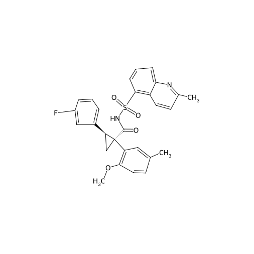 COc1ccc(C)cc1[C@@]1(C(=O)NS(=O)(=O)c2cccc3nc(C)ccc23)C[C@H]1c1cccc(F)c1